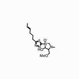 CC=CCCCc1nnc([N+]2([O-])CN(C)C(COC)C2O)s1